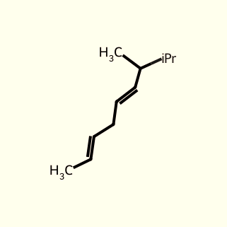 CC=CCC=CC(C)C(C)C